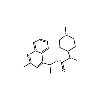 Cc1cc(C(C)NC(=O)N(C)C2CCN(C)CC2)c2ccccc2n1